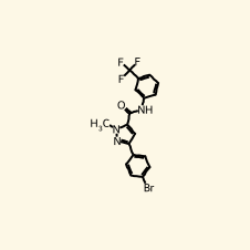 Cn1nc(-c2ccc(Br)cc2)cc1C(=O)Nc1cccc(C(F)(F)F)c1